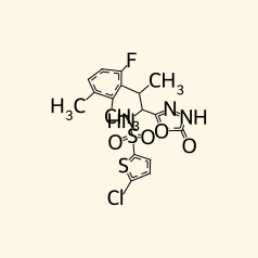 Cc1ccc(F)c(C(C)C(NS(=O)(=O)c2ccc(Cl)s2)c2n[nH]c(=O)o2)c1C